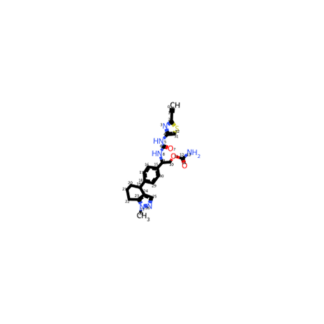 C#Cc1nc(NC(=O)NC(COC(N)=O)c2ccc(C3CCCc4c3cnn4C)cc2)cs1